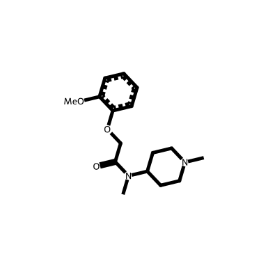 COc1ccccc1OCC(=O)N(C)C1CCN(C)CC1